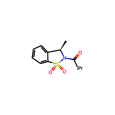 CC(C)C(=O)N1[C@H](C)c2ccccc2S1(=O)=O